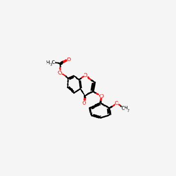 COc1ccccc1Oc1coc2cc(OC(C)=O)ccc2c1=O